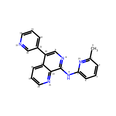 Cc1cccc(Nc2ncc(-c3cccnc3)c3cccnc23)n1